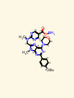 CC(C)COc1ccc(-c2nc(N3CCOCC3)c3nc(CN(C)c4ncc(C(=O)ON)cn4)n(C)c3n2)cc1